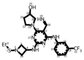 CCSN1CC(Nc2nc(Nc3cccc(C(F)(F)F)c3)c(C=N)c(N3CCC(O)C3)n2)C1